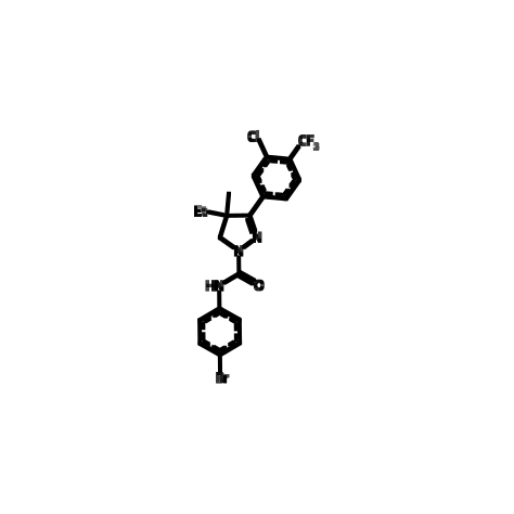 CCC1(C)CN(C(=O)Nc2ccc(Br)cc2)N=C1c1ccc(C(F)(F)F)c(Cl)c1